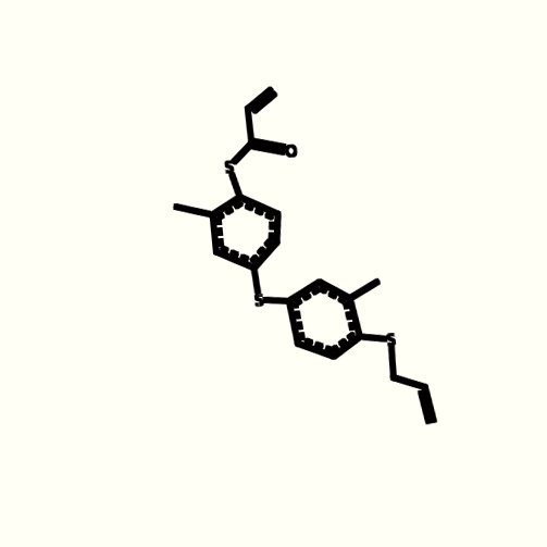 C=CCSc1ccc(Sc2ccc(SC(=O)C=C)c(C)c2)cc1C